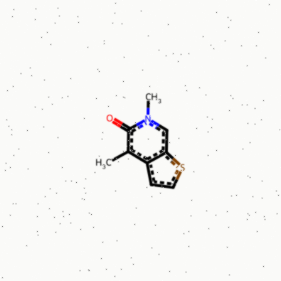 Cc1c(=O)n(C)cc2sccc12